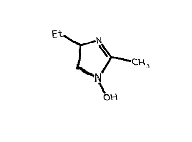 CCC1CN(O)C(C)=N1